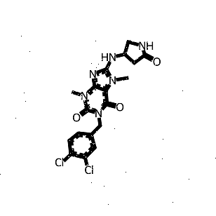 Cn1c(NC2CNC(=O)C2)nc2c1c(=O)n(Cc1ccc(Cl)c(Cl)c1)c(=O)n2C